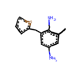 Cc1cc(N)cc(-c2cccs2)c1N